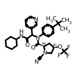 CC(C)(C)c1ccc(N(C(=O)[C@H]2C[C@@H](OC(F)(F)F)CN2C#N)C(C(=O)NC2CCCCC2)c2cccnc2)cc1